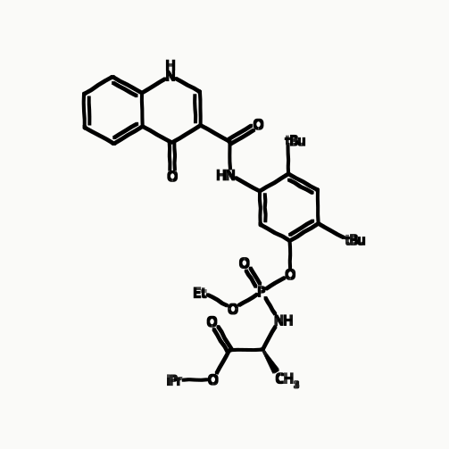 CCOP(=O)(N[C@@H](C)C(=O)OC(C)C)Oc1cc(NC(=O)c2c[nH]c3ccccc3c2=O)c(C(C)(C)C)cc1C(C)(C)C